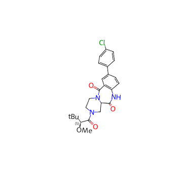 CO[C@H](C(=O)N1CCN2C(=O)c3cc(-c4ccc(Cl)cc4)ccc3NC(=O)C2C1)C(C)(C)C